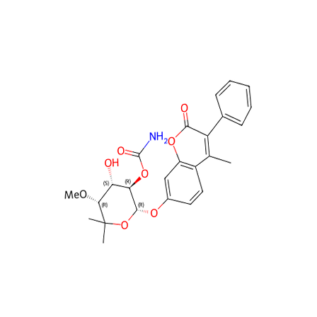 CO[C@@H]1[C@H](O)[C@@H](OC(N)=O)[C@H](Oc2ccc3c(C)c(-c4ccccc4)c(=O)oc3c2)OC1(C)C